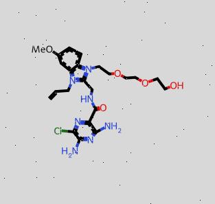 C=CC[n+]1c(CNC(=O)c2nc(Cl)c(N)nc2N)n(CCOCCOCCO)c2ccc(OC)cc21